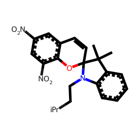 CC(C)CCN1c2ccccc2C(C)(C)C12C=Cc1cc([N+](=O)[O-])cc([N+](=O)[O-])c1O2